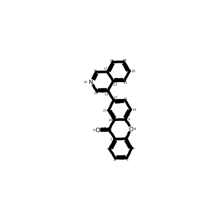 O=c1c2ccccc2oc2ccc(-c3cncc4ccccc34)cc12